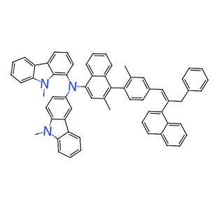 Cc1cc(/C=C(/Cc2ccccc2)c2cccc3ccccc23)ccc1-c1c(C)cc(N(c2ccc3c(c2)c2ccccc2n3C)c2cccc3c4ccccc4n(C)c23)c2ccccc12